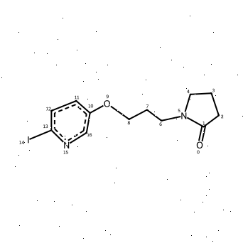 O=C1CCCN1CCCOc1ccc(I)nc1